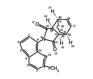 Cc1ccc2cccc(N3C(=O)[C@@H]4[C@H](C3=O)[C@@H]3C=C[C@H]4CC3)c2n1